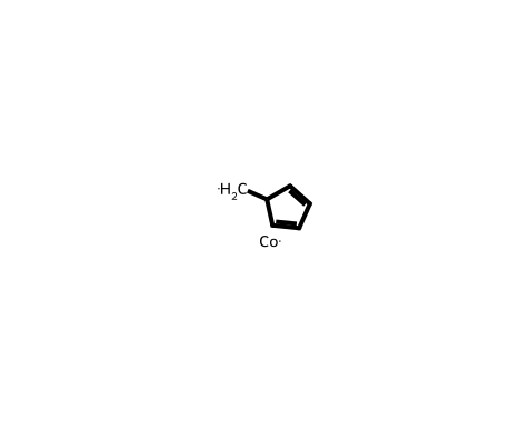 [CH2]C1C=CC=C1.[Co]